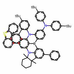 CC(C)(C)c1ccc(N(c2ccc(C(C)(C)C)cc2)c2ccc3c(c2)N(c2ccc(C(C)(C)C)cc2-c2ccccc2)c2cc(-c4cccc5sc6ccccc6c45)cc4c2B3c2cc(-c3ccccc3)cc3c2N4C2(C)CCCCC32C)cc1